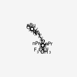 CCCCOc1ccc(C2(C)CN(CCCCOc3c(CCC)cc(C(O)(C(F)(F)F)C(F)(F)F)cc3CCC)C=N2)cc1